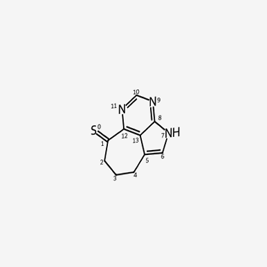 S=C1CCCc2c[nH]c3ncnc1c23